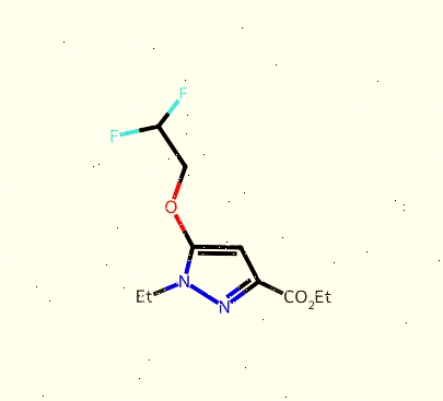 CCOC(=O)c1cc(OCC(F)F)n(CC)n1